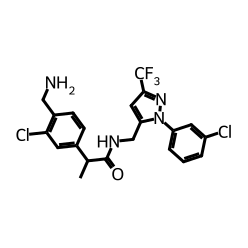 CC(C(=O)NCc1cc(C(F)(F)F)nn1-c1cccc(Cl)c1)c1ccc(CN)c(Cl)c1